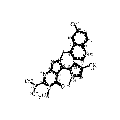 CCN(C(=O)O)c1nc2nn(Cc3ccnc4ccc(Cl)cc34)c(-c3cc(C#N)cn3C)c2c(=O)n1C